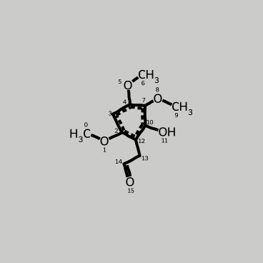 COc1cc(OC)c(OC)c(O)c1CC=O